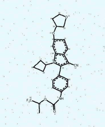 CC(OC(=O)Nc1ccc(-c2c(C#N)c3ccc(OC4CCOC4)cc3n2C2CCC2)cc1)C(F)(F)F